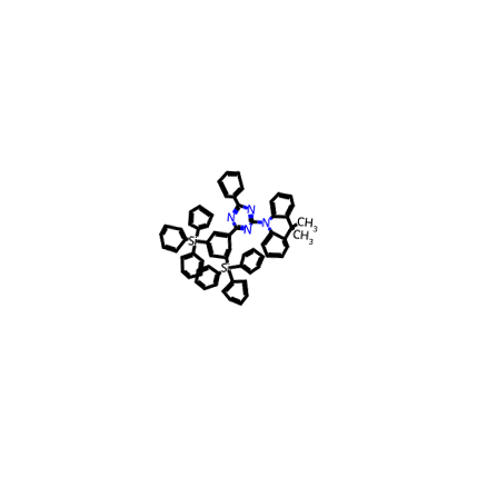 CC1(C)c2ccccc2N(c2nc(-c3ccccc3)nc(-c3cc([Si](c4ccccc4)(c4ccccc4)c4ccccc4)cc([Si](c4ccccc4)(c4ccccc4)c4ccccc4)c3)n2)c2ccccc21